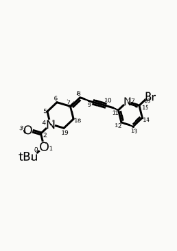 CC(C)(C)OC(=O)N1CCC(=CC#Cc2cccc(Br)n2)CC1